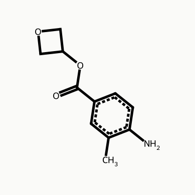 Cc1cc(C(=O)OC2COC2)ccc1N